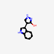 Oc1n[nH]cc1-c1c[nH]c2ccccc12